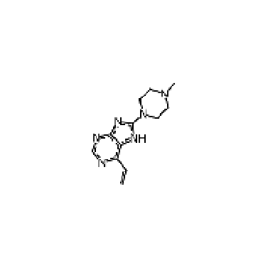 C=Cc1ncnc2nc(N3CCN(C)CC3)[nH]c12